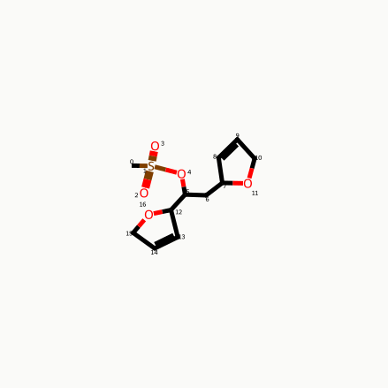 CS(=O)(=O)OC(CC1C=CCO1)C1C=CCO1